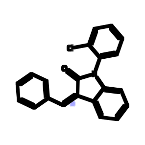 O=C1/C(=C\c2ccccc2)c2ccccc2N1c1ccccc1Cl